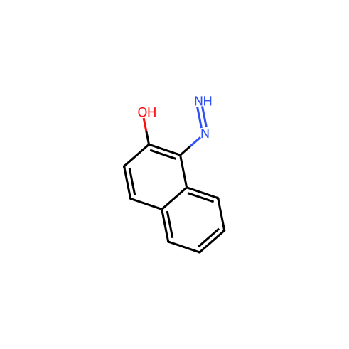 N=Nc1c(O)ccc2ccccc12